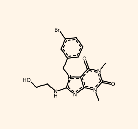 Cn1c(=O)c2c(nc(NCCO)n2Cc2cccc(Br)c2)n(C)c1=O